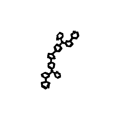 c1ccc(N(c2ccc(-c3ccc(-c4ccc(N(c5cccc(-c6cccnc6)c5)c5ccccn5)cc4)s3)cc2)c2cccc(-c3cccnc3)c2)nc1